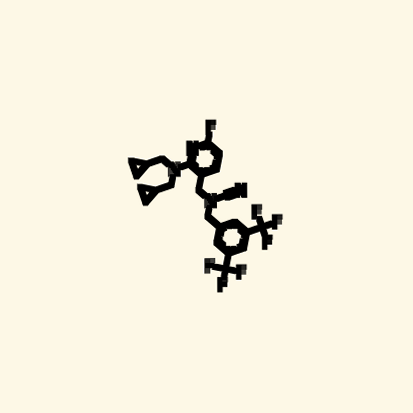 N#CN(Cc1cc(C(F)(F)F)cc(C(F)(F)F)c1)Cc1ccc(F)nc1N(CC1CC1)CC1CC1